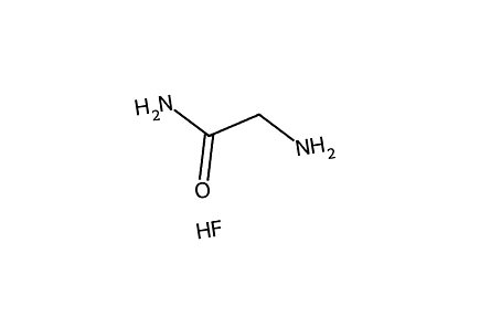 F.NCC(N)=O